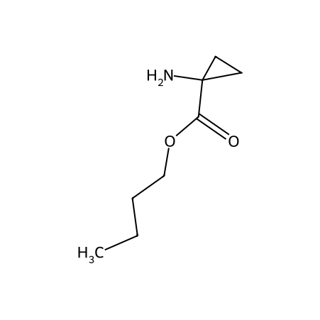 CCCCOC(=O)C1(N)CC1